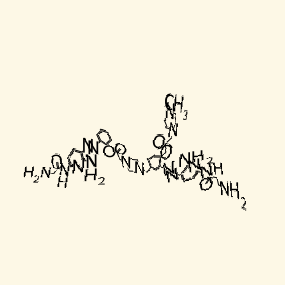 CN1CCN(CC(=O)Oc2ccc(CN3CCN(CC(=O)Oc4ccccc4/N=N/c4ccc(NC(=O)CN)nc4N)CC3)cc2/N=N/c2ccc(NC(=O)CCN)nc2N)CC1